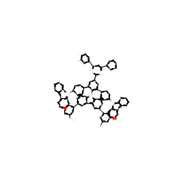 Cc1cc(C)cc(-c2ccc3c(c2)c2cc(-c4cc(C)cc(C)c4)ccc2n3-c2c(-c3ccc(-n4c5ccccc5c5ccccc54)cc3)cc(-c3nc(-c4ccccc4)cc(-c4ccccc4)n3)cc2-c2ccc(-n3c4ccccc4c4ccccc43)cc2)c1